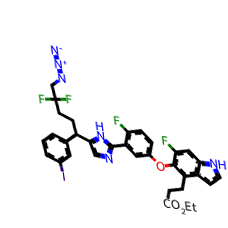 CCOC(=O)CCc1c(Oc2ccc(F)c(-c3ncc(C(CCC(F)(F)CN=[N+]=[N-])c4cccc(I)c4)[nH]3)c2)c(F)cc2[nH]ccc12